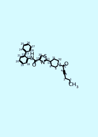 CCCC#CC(=O)N1CCC(c2nc(C(=O)Nc3ccccc3-c3ccccc3)cs2)CC1